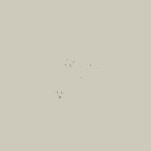 COCOc1cc(Cl)c(CCCCCOS(C)(=O)=O)c(B2OC(C)(C)C(C)(C)O2)c1